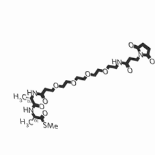 CSC(=O)[C@H](C)NC(=O)[C@H](C)NC(=O)CCOCCOCCOCCOCCNC(=O)CCN1C(=O)C=CC1=O